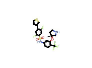 C[C@@]1(Oc2cc(NS(=O)(=O)c3cc(F)c(-c4ccsc4)cc3F)ccc2C(F)(F)F)CCNC1